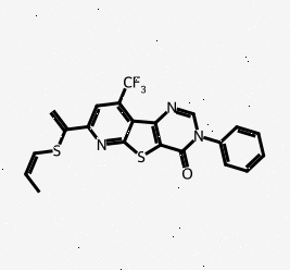 C=C(S/C=C\C)c1cc(C(F)(F)F)c2c(n1)sc1c(=O)n(-c3ccccc3)cnc12